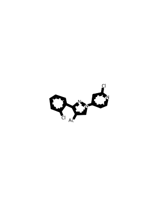 CC(=O)c1cn(-c2ccnc(Cl)c2)nc1-c1ccccc1Cl